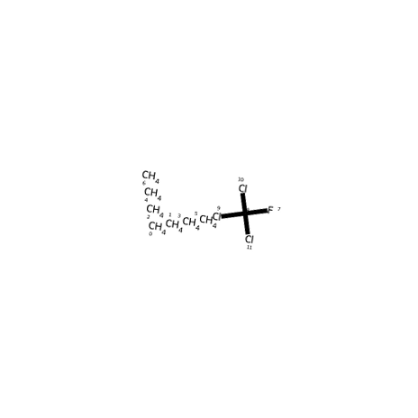 C.C.C.C.C.C.C.FC(Cl)(Cl)Cl